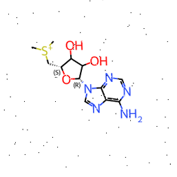 C[S+](C)C[C@H]1O[C@@H](n2cnc3c(N)ncnc32)C(O)C1O